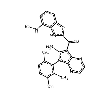 CCNc1cccc2cc(C(=O)c3c(N)n(-c4c(C)ccc(O)c4C)c4nccnc34)[nH]c12